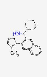 CC1=C(c2cc3ccccc3cc2C(=N)C2CCCCC2)CC=C1